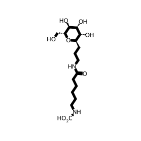 O=C(O)NCCCCCC(=O)NCCC[C@H]1O[C@H](CO)[C@@H](O)[C@H](O)[C@@H]1O